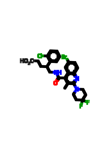 Cc1c(N2CCC(F)(F)CC2)nc2ccc(Br)cc2c1C(=O)NCC(CCC(=O)O)c1ccccc1Cl